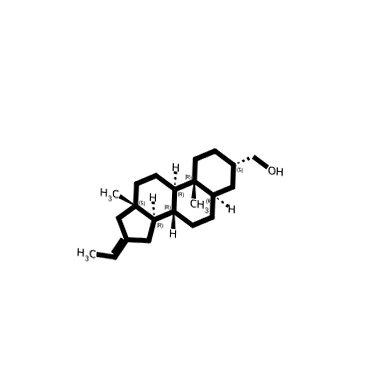 CC=C1C[C@@H]2[C@H]3CC[C@@H]4C[C@@H](CO)CC[C@@]4(C)[C@@H]3CC[C@@]2(C)C1